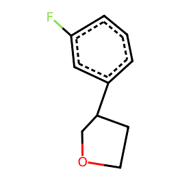 Fc1cccc(C2CCOC2)c1